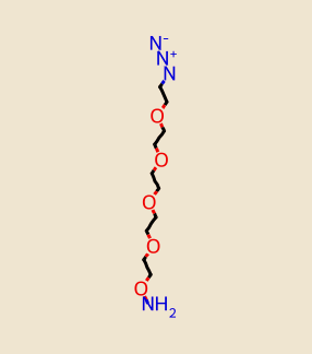 [N-]=[N+]=NCCOCCOCCOCCOCCON